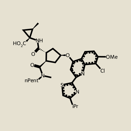 CCCCCN(C)C(=O)[C@@H]1C[C@H](Oc2cc(-c3nc(C(C)C)cs3)nc3c(Cl)c(OC)ccc23)C[C@H]1C(=O)N[C@]1(C(=O)O)C[C@H]1C